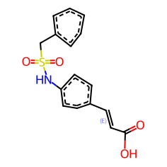 O=C(O)/C=C/c1ccc(NS(=O)(=O)Cc2ccccc2)cc1